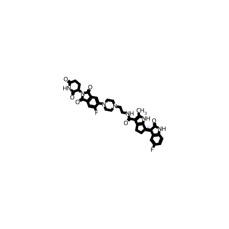 Cc1[nH]c2c(c1C(=O)NCCN1CCN(c3cc4c(cc3F)C(=O)N(C3CCC(=O)NC3=O)C4=O)CC1)CC/C2=C1/C(=O)Nc2ccc(F)cc21